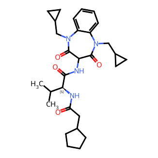 CC(C)[C@H](NC(=O)CC1CCCC1)C(=O)NC1C(=O)N(CC2CC2)c2ccccc2N(CC2CC2)C1=O